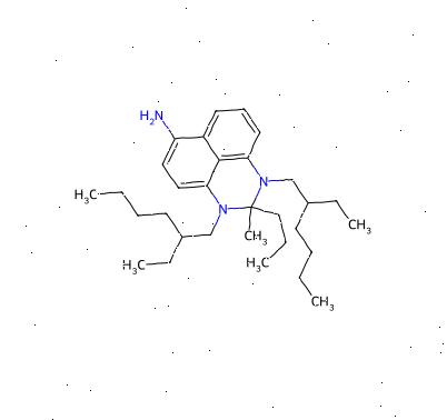 CCCCC(CC)CN1c2cccc3c(N)ccc(c23)N(CC(CC)CCCC)C1(C)CCC